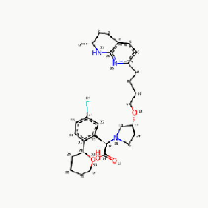 C[C@@H]1CCc2ccc(CCCCO[C@@H]3CCN([C@@H](C(=O)O)c4cc(F)ccc4[C@@H]4CCCCO4)C3)nc2N1